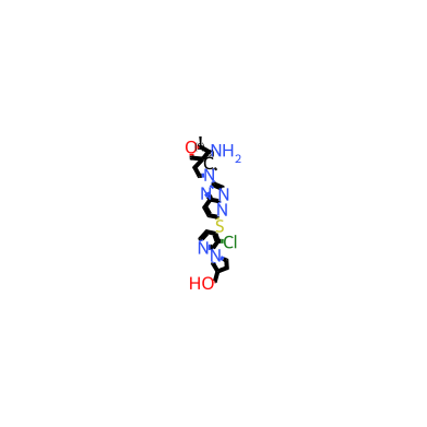 C[C@@H]1OCC2(CCN(c3cnc4nc(Sc5ccnc(N6CCC(CO)C6)c5Cl)ccc4n3)CC2)[C@@H]1N